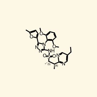 CCc1cnc([C@@H](C)[C@H](C)S(=O)(=O)Nc2nnc(-c3ccc(C)o3)n2-c2c(OC)cccc2OC)nc1